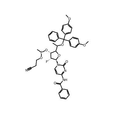 COc1ccc(C(OC(C)C2O[C@@H](n3ccc(NC(=O)c4ccccc4)nc3=O)[C@H](F)[C@@H]2OP(C)OCCC#N)(c2ccccc2)c2ccc(OC)cc2)cc1